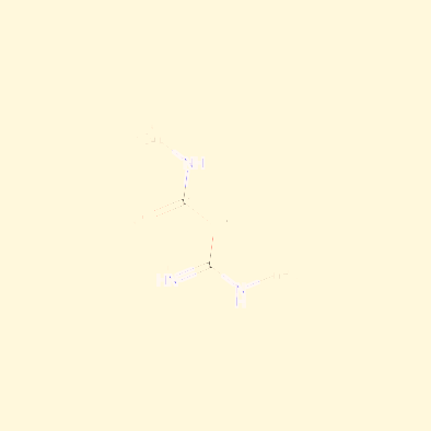 CCCCNC(=N)OC(=O)NCCCC